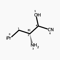 CC(C)C[C@@H](N)C(O)C#N